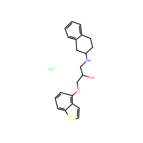 Cl.OC(CNC1CCc2ccccc2C1)COc1cccc2sccc12